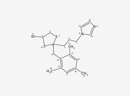 CCC1CSC(CCCn2ccnc2)(Cc2c(C)cc(C)cc2C)S1